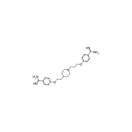 N=C(N)c1ccc(OCCCN2CCC(CCOc3ccc(C(=N)N)cc3)CC2)cc1